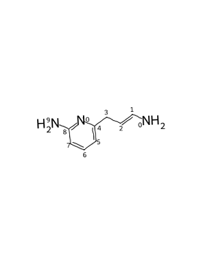 NC=CCc1cccc(N)n1